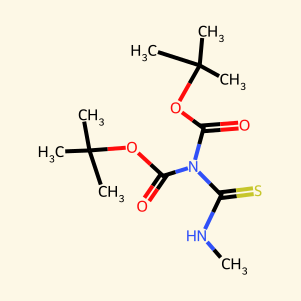 CNC(=S)N(C(=O)OC(C)(C)C)C(=O)OC(C)(C)C